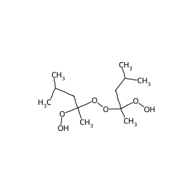 CC(C)CC(C)(OO)OOC(C)(CC(C)C)OO